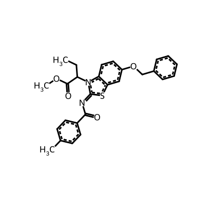 CCC(C(=O)OC)n1c(=NC(=O)c2ccc(C)cc2)sc2cc(OCc3ccccc3)ccc21